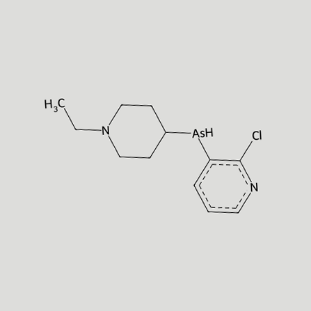 CCN1CCC([AsH]c2cccnc2Cl)CC1